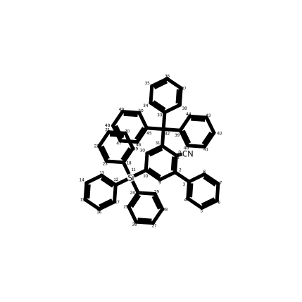 N#Cc1c(-c2ccccc2)cc([Si](c2ccccc2)(c2ccccc2)c2ccccc2)cc1C(c1ccccc1)(c1ccccc1)c1ccccc1